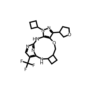 FC(F)(F)c1cnc2nc1NC1CCC1COc1c(C3CCOC3)nn(C3CCC3)c1N2